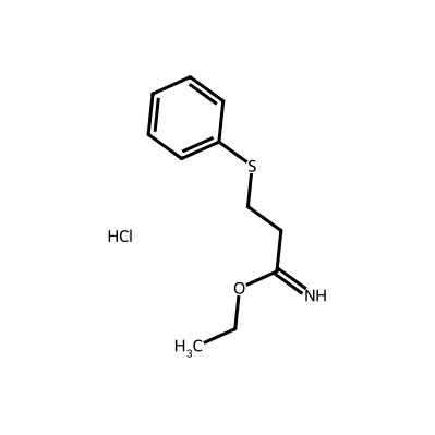 CCOC(=N)CCSc1ccccc1.Cl